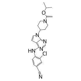 C=C(OC(C)C)N1CCC(n2ccc3c(Nc4ccc(C#N)cc4Cl)ncnc32)CC1